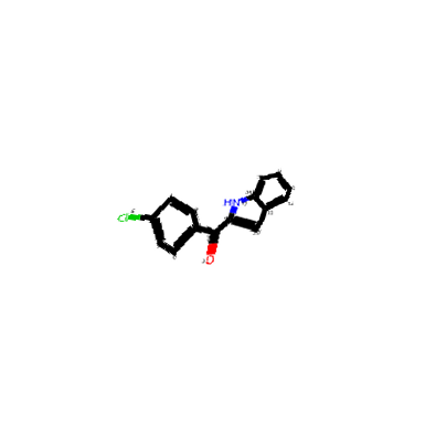 O=C(c1ccc(Cl)cc1)c1cc2ccccc2[nH]1